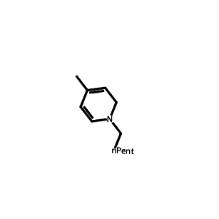 CCCCCCN1C=CC(C)=CC1